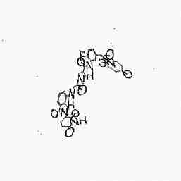 O=C1CCN(S(=O)(=O)Cc2ccc(F)c(NC(=O)C3CN(C(=O)CNc4cccc5c4CN(C4CCC(=O)NC4=O)C5=O)C3)c2)CC1